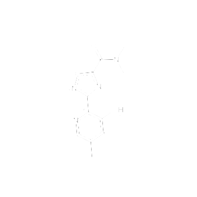 Cc1cnc(-c2noc(C(=O)N(C)C)n2)c(O)c1